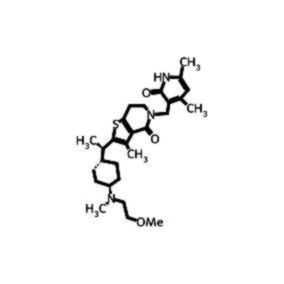 COCCN(C)[C@H]1CC[C@H]([C@@H](C)c2sc3c(c2C)C(=O)N(Cc2c(C)cc(C)[nH]c2=O)CC3)CC1